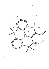 C=CC1=C2B3c4c(cccc4C(C)(C)c4cccc(c43)C(C)(C)/C2=C/C)C1(C)C